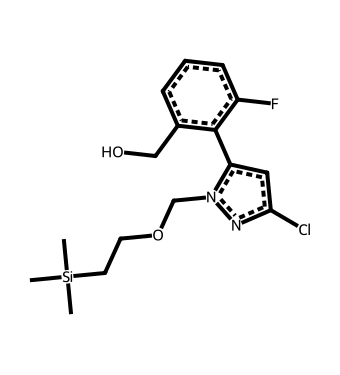 C[Si](C)(C)CCOCn1nc(Cl)cc1-c1c(F)cccc1CO